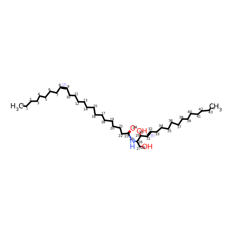 CCCCCCCC/C=C\CCCCCCCCCCCCCC(=O)NC(CO)C(O)/C=C/CCCCCCCCCCCC